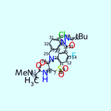 CN[C@@H](C)C(=O)N[C@H]1CS(=O)(=O)c2cc(F)c(-c3nnc(C(C)(C)C)o3)cc2N(Cc2ccc(Cl)cc2)C1=O